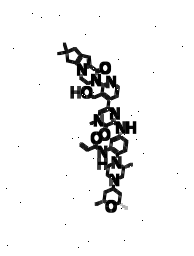 C=CC(=O)Nc1cc(Nc2nc(-c3ccnc(N4CCn5c(cc6c5CC(C)(C)C6)C4=O)c3CO)cn(C)c2=O)ccc1N1CCN(C2C[C@H](C)O[C@@H](C)C2)C[C@@H]1C